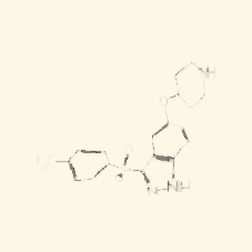 O=S(=O)(c1ccc(C(F)(F)F)cc1)c1n[nH]c2ccc(OC3CCNCC3)cc12